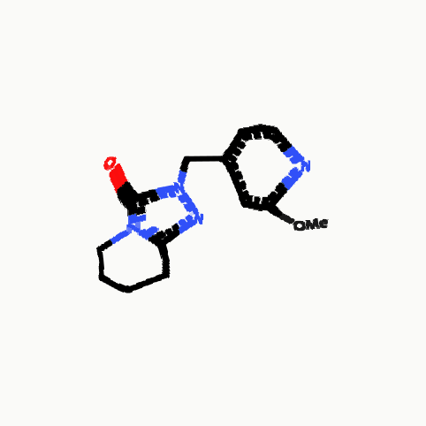 COc1cc(Cn2nc3n(c2=O)CCCC3)ccn1